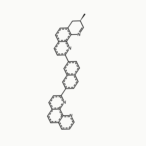 C[C@H]1C=Nc2c(ccc3ccc(-c4ccc5ccc(-c6ccc7ccc8cccnc8c7n6)cc5c4)nc23)C1